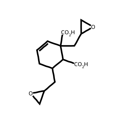 O=C(O)C1C(CC2CO2)CC=CC1(CC1CO1)C(=O)O